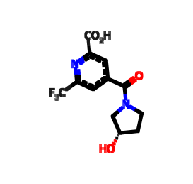 O=C(O)c1cc(C(=O)N2CC[C@H](O)C2)cc(C(F)(F)F)n1